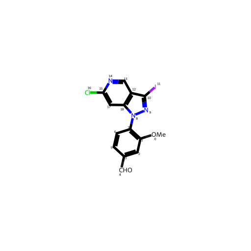 COc1cc(C=O)ccc1-n1nc(I)c2cnc(Cl)cc21